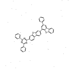 c1ccc(-c2cc(-c3ccc4c(c3)sc3cc(-c5nc(-c6ccccc6)nc(-c6ccccc6)n5)ccc34)c3sc4ccccc4c3c2)cc1